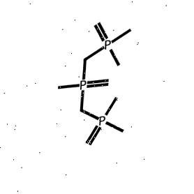 C=P(C)(C)CP(=C)(C)CP(=C)(C)C